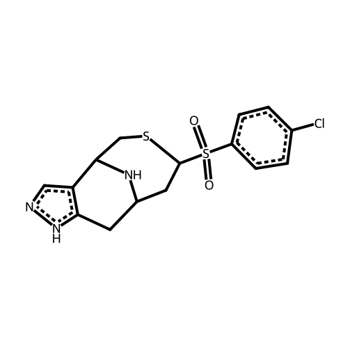 O=S(=O)(c1ccc(Cl)cc1)C1CC2Cc3[nH]ncc3C(CS1)N2